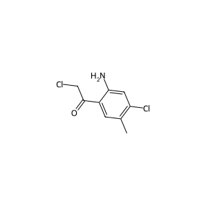 Cc1cc(C(=O)CCl)c(N)cc1Cl